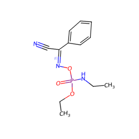 CCNP(=O)(OCC)O/N=C(/C#N)c1ccccc1